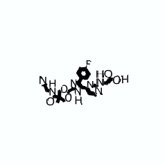 CC1(C(=O)NCC#N)COC(c2nc(-c3ccc(F)cc3)c(-c3ccnc(NCC(=O)O)n3)[nH]2)OC1